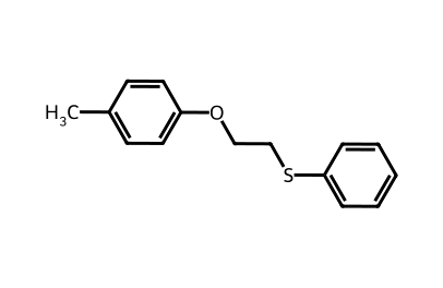 Cc1ccc(OCCSc2ccccc2)cc1